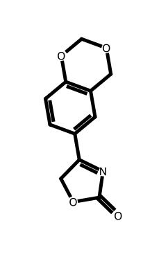 O=C1N=C(c2ccc3c(c2)COCO3)CO1